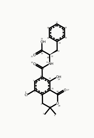 CC1(C)Cc2c(Cl)cc(C(=O)N[C@H](Cc3ccccc3)C(=O)O)c(O)c2C(=O)O1